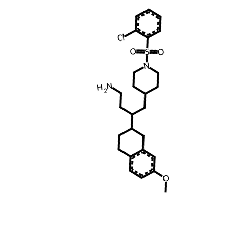 COc1ccc2c(c1)CC(C(CCN)CC1CCN(S(=O)(=O)c3ccccc3Cl)CC1)CC2